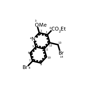 CCOC(=O)c1c(OC)nc2cc(Br)ccc2c1CBr